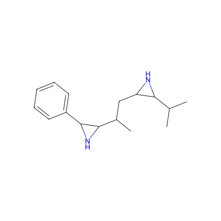 CC(C)C1NC1CC(C)C1NC1c1ccccc1